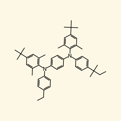 CCc1ccc(N(c2ccc(N(c3ccc(C(C)(C)CC)cc3)c3c(C)cc(C(C)(C)C)cc3C)cc2)c2c(C)cc(C(C)(C)C)cc2C)cc1